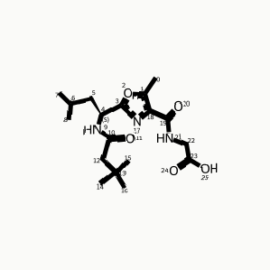 Cc1oc([C@H](CC(C)C)NC(=O)CC(C)(C)C)nc1C(=O)NCC(=O)O